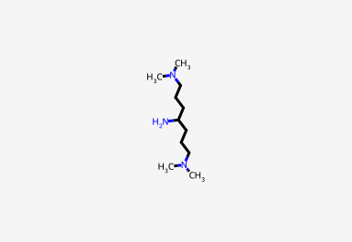 CN(C)CCCC(N)CCCN(C)C